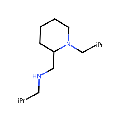 CC(C)CNCC1CCCCN1CC(C)C